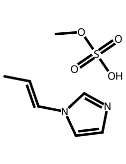 CC=Cn1ccnc1.COS(=O)(=O)O